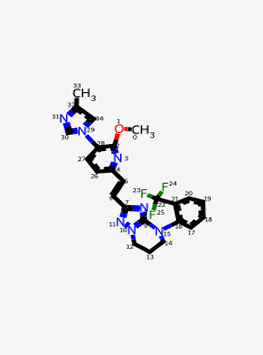 COc1nc(/C=C/c2nc3n(n2)CCCN3c2ccccc2C(F)(F)F)ccc1-n1cnc(C)c1